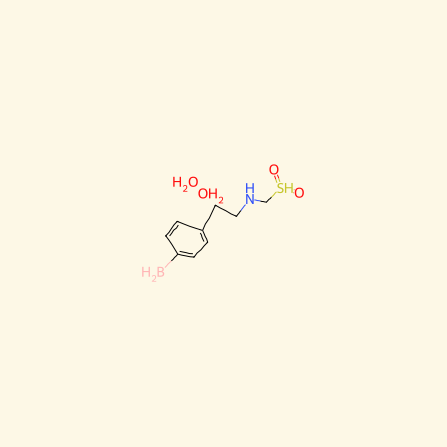 Bc1ccc(CCNC[SH](=O)=O)cc1.O.O